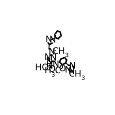 COc1c(Nc2nc(N(C)Cc3cnn(-c4ccccc4)c3)ncc2C(=O)O)cccc1-c1ncn(C)n1